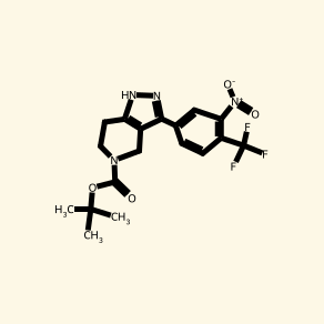 CC(C)(C)OC(=O)N1CCc2[nH]nc(-c3ccc(C(F)(F)F)c([N+](=O)[O-])c3)c2C1